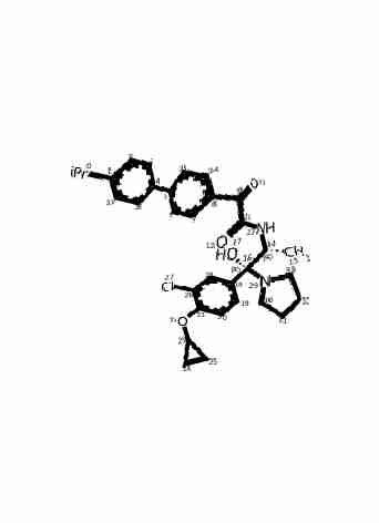 CC(C)c1ccc(-c2ccc(C(=O)C(=O)N[C@H](C)[C@](O)(c3ccc(OC4CC4)c(Cl)c3)N3CCCC3)cc2)cc1